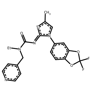 CCN(Cc1ccncc1)C(=O)N=c1sc(C)cn1-c1ccc2c(c1)OC(F)(F)O2